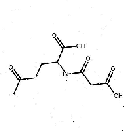 CC(=O)CCC(NC(=O)CC(=O)O)C(=O)O